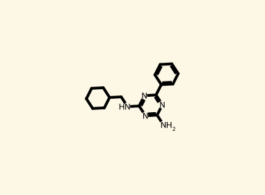 Nc1nc(NCC2CCCCC2)nc(-c2ccccc2)n1